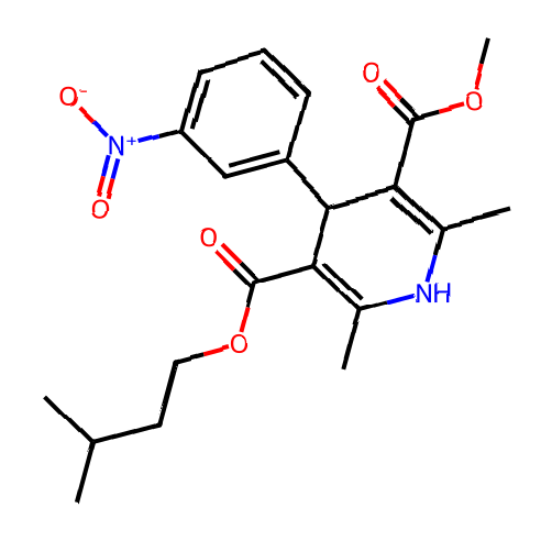 COC(=O)C1=C(C)NC(C)=C(C(=O)OCCC(C)C)C1c1cccc([N+](=O)[O-])c1